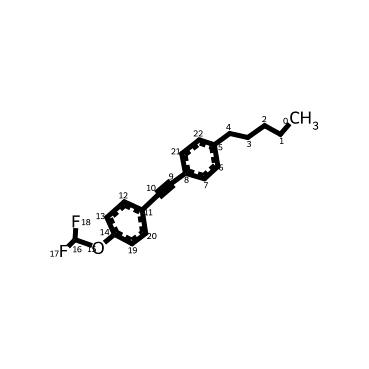 CCCCCc1ccc(C#Cc2ccc(OC(F)F)cc2)cc1